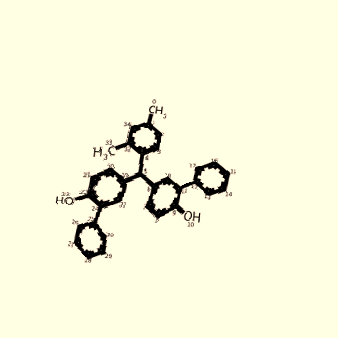 Cc1ccc(C(c2ccc(O)c(-c3ccccc3)c2)c2ccc(O)c(-c3ccccc3)c2)c(C)c1